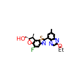 CCOc1cnc2c(-c3nc4cc(F)c5c(c4s3)[C@H](C)[C@@H](CO)O5)cc(C)cc2n1